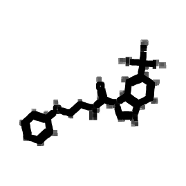 O=C(NCCOc1ccccc1)n1cnc2ccc(C(F)(F)F)cc21